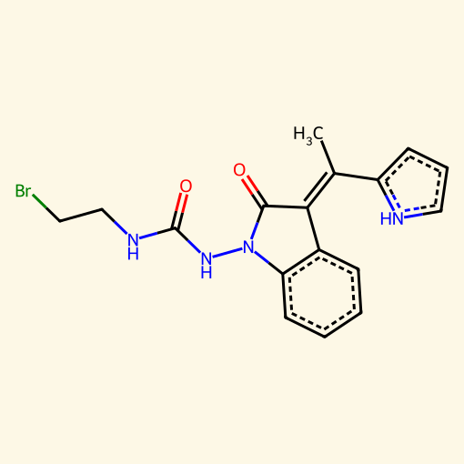 CC(=C1C(=O)N(NC(=O)NCCBr)c2ccccc21)c1ccc[nH]1